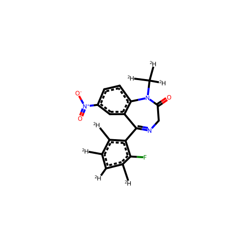 [2H]c1c([2H])c([2H])c(C2=NCC(=O)N(C([2H])([2H])[2H])c3ccc([N+](=O)[O-])cc32)c(F)c1[2H]